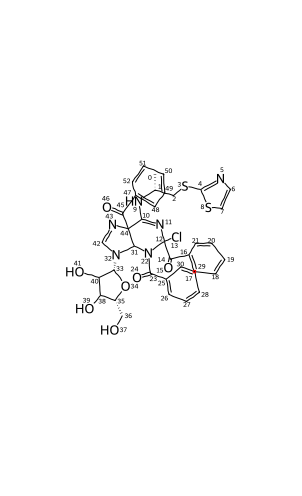 C[C@H](CSc1nccs1)NC1=NC(Cl)(C(=O)c2ccccc2)N(C(=O)c2ccccc2)C2N([C@@H]3O[C@H](CO)C(O)C3O)C=NC12C(=O)c1ccccc1